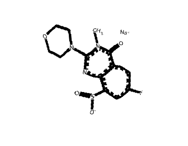 Cn1c(N2CCOCC2)nc2c(S(=O)[O-])cc(F)cc2c1=O.[Na+]